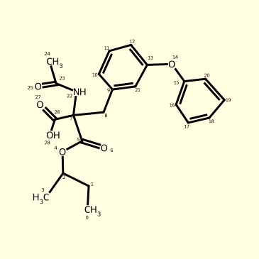 CCC(C)OC(=O)C(Cc1cccc(Oc2ccccc2)c1)(NC(C)=O)C(=O)O